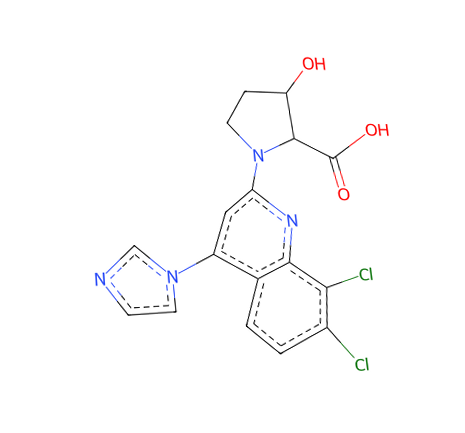 O=C(O)C1C(O)CCN1c1cc(-n2ccnc2)c2ccc(Cl)c(Cl)c2n1